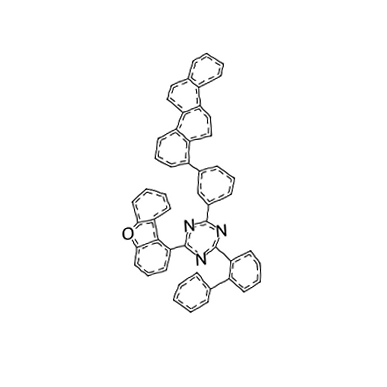 c1ccc(-c2ccccc2-c2nc(-c3cccc(-c4cccc5c4ccc4c6ccccc6ccc54)c3)nc(-c3cccc4oc5ccccc5c34)n2)cc1